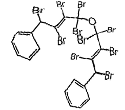 BrC(=C(Br)C(Br)(Br)OC(Br)(Br)C(Br)=C(Br)C(Br)c1ccccc1)C(Br)c1ccccc1